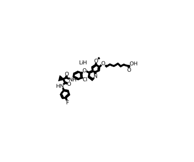 COc1cc2c(Oc3ccc(NC(=O)C4(C(=O)Nc5ccc(F)cc5)CC4)cc3Cl)ccnc2cc1OCCCCCCC(=O)O.[LiH]